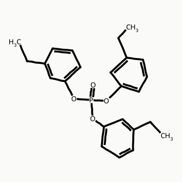 CCc1cccc(OP(=O)(Oc2cccc(CC)c2)Oc2cccc(CC)c2)c1